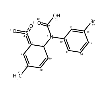 CC1=CC(=S(=O)=O)C(N(C(=O)O)c2cccc(Br)c2)C=C1